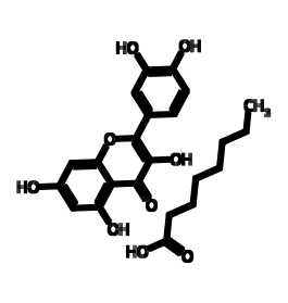 CCCCCCCC(=O)O.O=c1c(O)c(-c2ccc(O)c(O)c2)oc2cc(O)cc(O)c12